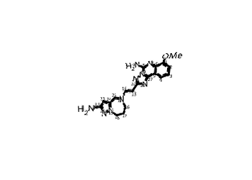 COc1cccc2c1nc(N)n1nc(CCN3CCCn4nc(N)cc4C3)nc21